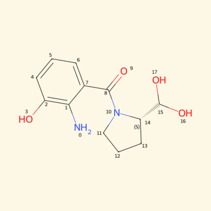 Nc1c(O)cccc1C(=O)N1CCC[C@H]1C(O)O